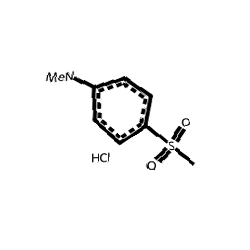 CNc1ccc(S(C)(=O)=O)cc1.Cl